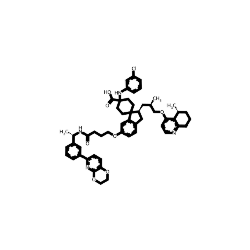 C[C@@H](COc1ccnc2c1[C@H](C)CCC2)C[C@H]1Cc2ccc(OCCCC(=O)N[C@@H](C)c3cccc(-c4ccc5c(n4)OCCO5)c3)cc2C12CCC(Nc1cccc(Cl)c1)(C(=O)O)CC2